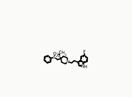 COC1(C[S+]([O-])c2ccccc2)CCN(CCc2c[nH]c3ccc(F)cc23)CC1